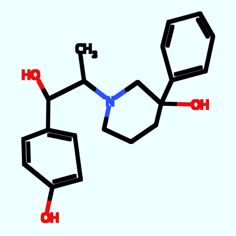 CC(C(O)c1ccc(O)cc1)N1CCCC(O)(c2ccccc2)C1